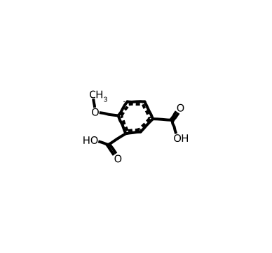 COc1[c]cc(C(=O)O)cc1C(=O)O